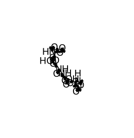 CC(=O)N[C@@H](COP(=O)(O)OCCNC(=O)NCCOP(=O)(O)OC[C@H](NC(C)=O)C(C)OC(C)=O)C(C)OC(C)=O